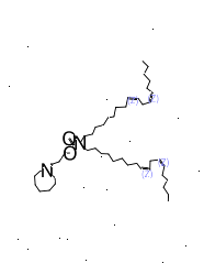 CCCCC/C=C\C/C=C\CCCCCCCCN(CCCCCCCC/C=C\C/C=C\CCCCC)C(=O)OCCCN1CCCCCCC1